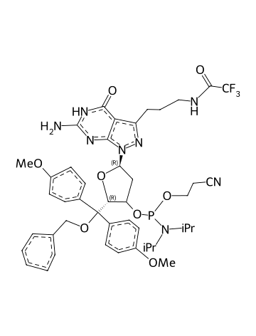 COc1ccc(C(OCc2ccccc2)(c2ccc(OC)cc2)[C@@H]2O[C@@H](n3nc(CCCNC(=O)C(F)(F)F)c4c(=O)[nH]c(N)nc43)CC2OP(OCCC#N)N(C(C)C)C(C)C)cc1